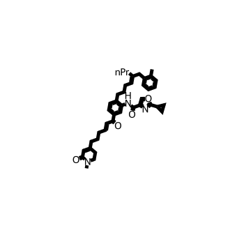 CCC/C(=C\CCCc1ccc(C(=O)/C=C/CCCC2=CC(=O)N(C)CC2)cc1NC(=O)c1coc(C2CC2)n1)Cc1ccccc1C